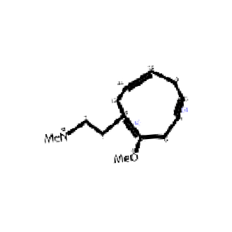 CNCC/C1=C(\OC)C/C=C\CC=CC1